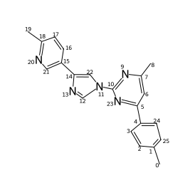 Cc1ccc(-c2cc(C)nc(-n3cnc(-c4ccc(C)nc4)c3)n2)cc1